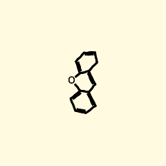 C1=CCC2=Cc3ccccc3OC2=C1